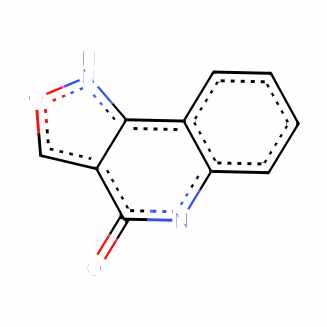 O=c1nc2ccccc2c2[nH]occ1-2